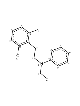 CCN(CCc1c(C)cccc1Cl)c1ccccc1